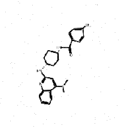 CN(C)c1cc(N[C@H]2CC[C@@H](NC(=O)c3ccc(C(F)(F)F)cc3)CC2)nc2ccccc12